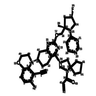 C#Cc1c(F)ccc2c1N([C@H]1CCc3c(nc(OC[C@]4(C)C[C@@H](F)CN4c4ccncn4)nc3NCC3(N(C)C(=O)C=C)CCCC3)C1)CCO2